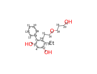 CCc1c(O)cc(O)c(-c2ccccc2)c1CCOCCCO